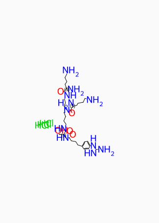 Cl.Cl.Cl.N=C(N)Nc1ccc(CCCC(=O)N[C@@H](CO)C(=O)NCCCCN(CCCNC(=O)[C@@H](N)CCCCN)C(=O)[C@@H](N)CCCCN)cc1